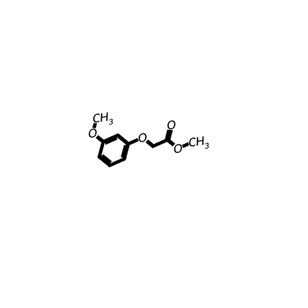 COC(=O)COc1cccc(OC)c1